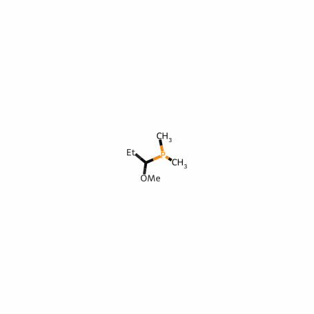 CCC(OC)P(C)C